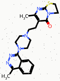 Cc1nc2n(c(=O)c1CCN1CCN(c3nnc(C)c4ccccc34)CC1)CCS2